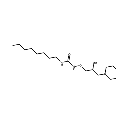 CCCCCCCCNC(=O)NOCC(O)CN1CCCCC1